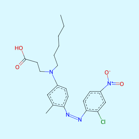 CCCCCCN(CCC(=O)O)c1ccc(/N=N\c2ccc([N+](=O)[O-])cc2Cl)c(C)c1